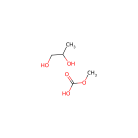 CC(O)CO.COC(=O)O